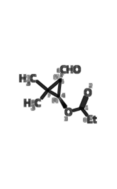 CCC(=O)O[C@@H]1[C@@H](C=O)C1(C)C